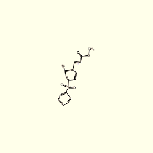 COC(=O)/C=C/c1ccc(S(=O)(=O)c2ccccc2)cc1Br